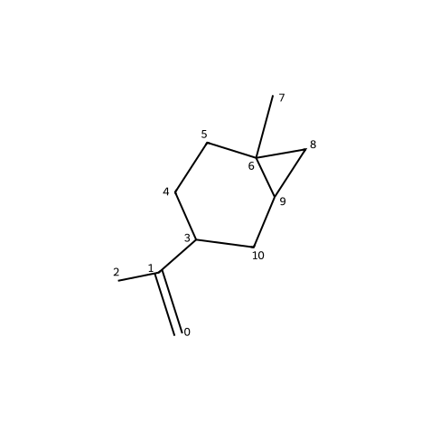 C=C(C)C1CCC2(C)CC2C1